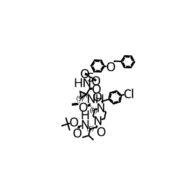 C=C[C@@H]1C[C@]1(NC(=O)[C@H]1CN(C(=O)[C@@H](NC(=O)OC(C)(C)C)C(C)C)CCN1C(=O)c1ccc(Cl)cc1)C(=O)NS(=O)(=O)c1cccc(OCc2ccccc2)c1